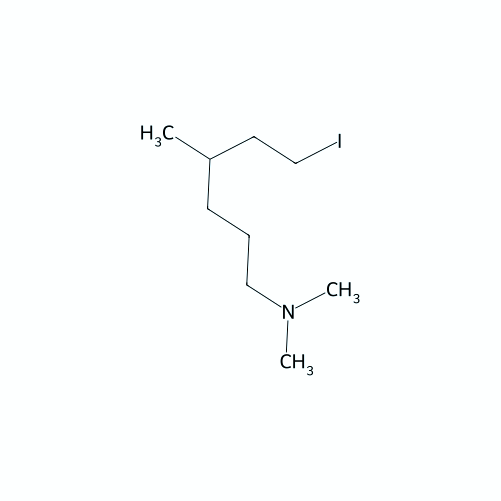 CC(CCI)CCCN(C)C